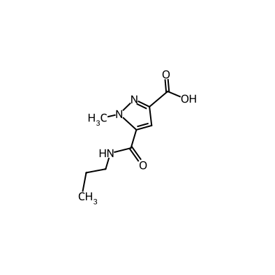 CCCNC(=O)c1cc(C(=O)O)nn1C